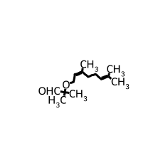 CC(C)=CCCC(C)=CCOC(C)(C)C=O